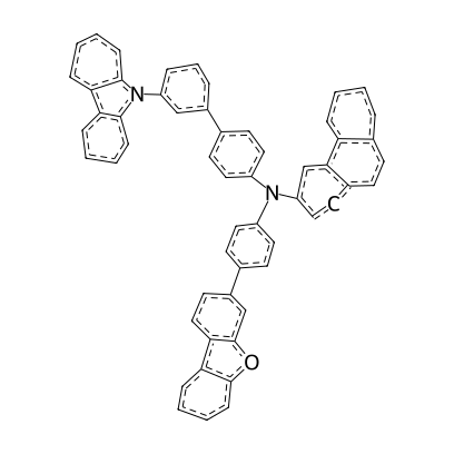 c1cc(-c2ccc(N(c3ccc(-c4ccc5c(c4)oc4ccccc45)cc3)c3ccc4ccc5ccccc5c4c3)cc2)cc(-n2c3ccccc3c3ccccc32)c1